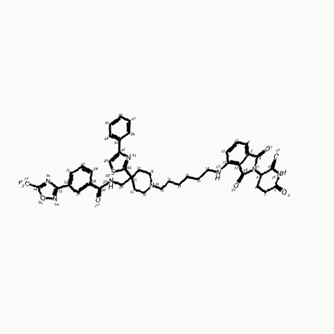 O=C1CCC(N2C(=O)c3cccc(NCCCCCCN4CCC(CNC(=O)c5cccc(-c6noc(C(F)(F)F)n6)c5)(c5nc(-c6ccccc6)cs5)CC4)c3C2=O)C(=O)N1